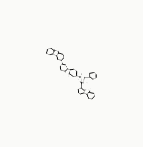 c1ccc(-c2nc(-c3ccc4c(c3)oc3ccc(-c5ccc6oc7ccccc7c6c5)cc34)nc(-c3cccc4c3oc3ccccc34)n2)cc1